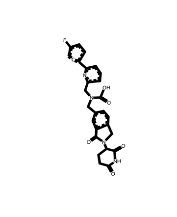 O=C1CCC(N2Cc3ccc(CN(Cc4cccc(-c5ccc(F)cc5)n4)C(=O)O)cc3C2=O)C(=O)N1